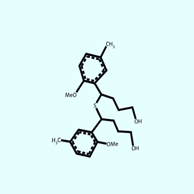 COc1ccc(C)cc1C(CCCO)SC(CCCO)c1cc(C)ccc1OC